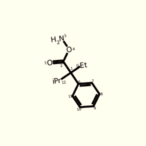 CCC(C(=O)ON)(c1ccccc1)C(C)C